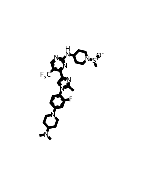 Cc1nc(-c2nc(NC3CCN([S+](C)[O-])CC3)ncc2C(F)(F)F)cn1-c1ccc(N2CCC(N(C)C)CC2)cc1F